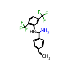 C=Cc1ccc(C(N)Bc2cc(C(F)(F)F)ccc2C(F)(F)F)cc1